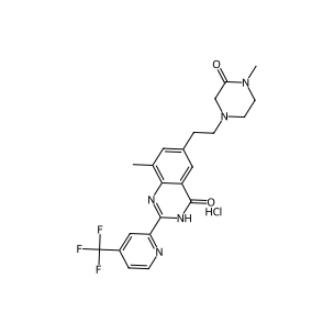 Cc1cc(CCN2CCN(C)C(=O)C2)cc2c(=O)[nH]c(-c3cc(C(F)(F)F)ccn3)nc12.Cl